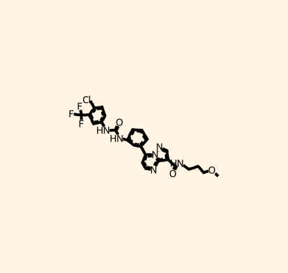 COCCCNC(=O)c1cnn2c(-c3cccc(NC(=O)Nc4ccc(Cl)c(C(F)(F)F)c4)c3)ccnc12